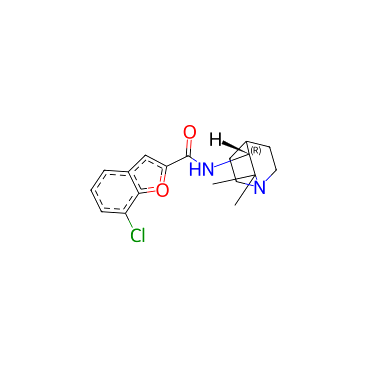 CC1(C)[C@H](NC(=O)c2cc3cccc(Cl)c3o2)C2CCN1CC2